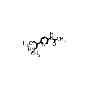 CCC(=CNC)c1ccc(NC(C)=O)cn1